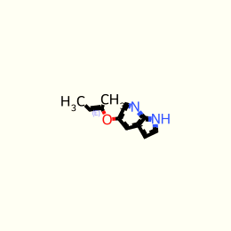 C/C=C(\C)Oc1cnc2[nH]ccc2c1